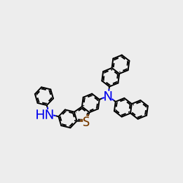 c1ccc(Nc2ccc3sc4cc(N(c5ccc6ccccc6c5)c5ccc6ccccc6c5)ccc4c3c2)cc1